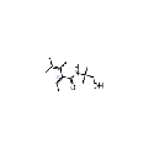 C/C=C(\C(=O)NC(C)(C)CO)C(C)=C(C)C